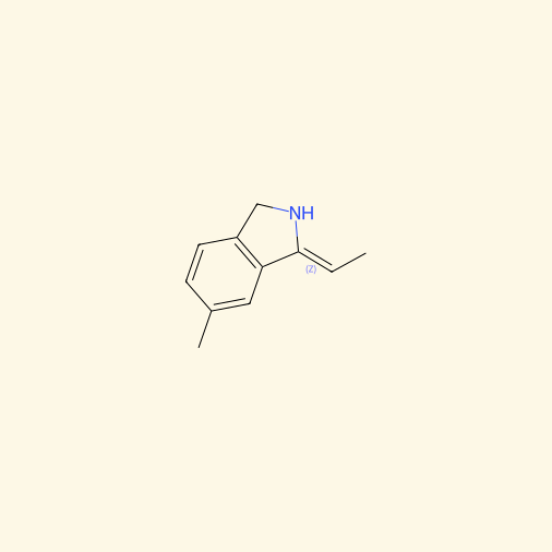 C/C=C1\NCc2ccc(C)cc21